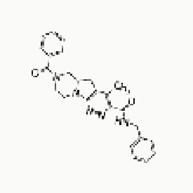 Cc1c(C(=O)NCc2ccccc2)nnc2c1CC1CN(C(=O)c3ccccc3)CCN21